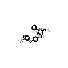 Nc1nc(Nc2ccc(Oc3ccnc(C(F)(F)F)c3)cc2)cc(-c2ccccc2C(F)(F)F)n1